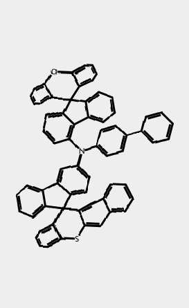 c1ccc(-c2ccc(N(c3ccc4c(c3)-c3ccccc3C43c4ccccc4Sc4cc5ccccc5cc43)c3cccc4c3-c3ccccc3C43c4ccccc4Oc4ccccc43)cc2)cc1